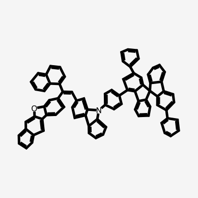 C(=C(/c1ccc2c(c1)oc1cc3ccccc3cc12)c1cccc2ccccc12)/c1ccc2c3ccccc3n(-c3ccc(-c4cc(-c5ccccc5)cc5c4-c4ccccc4C54c5ccccc5-c5ccc(-c6ccccc6)cc54)cc3)c2c1